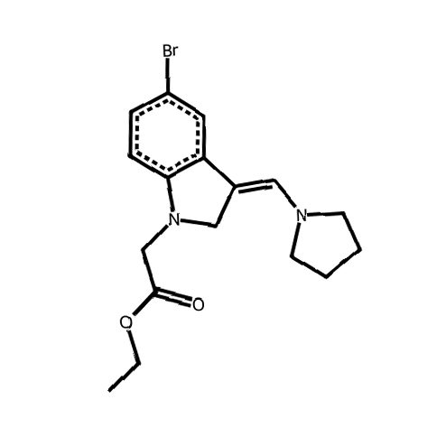 CCOC(=O)CN1CC(=CN2CCCC2)c2cc(Br)ccc21